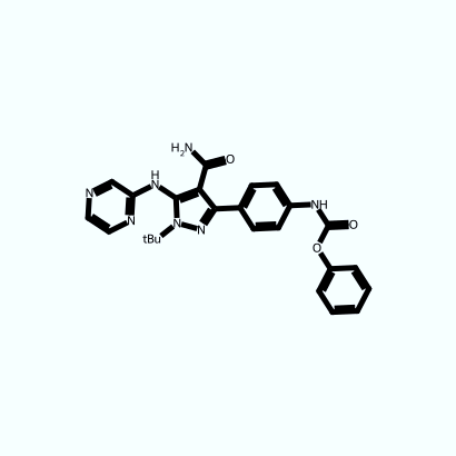 CC(C)(C)n1nc(-c2ccc(NC(=O)Oc3ccccc3)cc2)c(C(N)=O)c1Nc1cnccn1